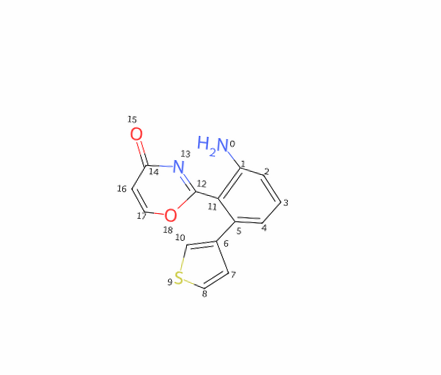 Nc1cccc(-c2ccsc2)c1-c1nc(=O)cco1